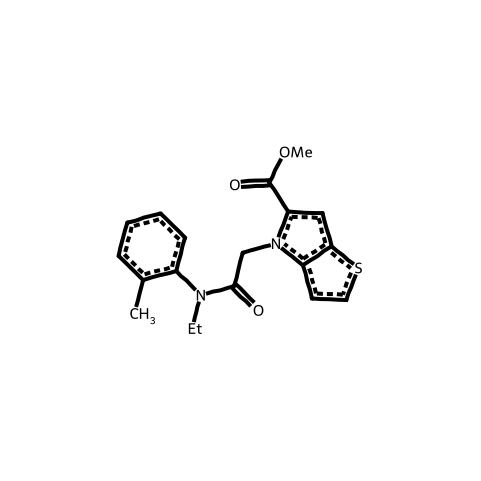 CCN(C(=O)Cn1c(C(=O)OC)cc2sccc21)c1ccccc1C